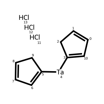 C1=CC[C]([Ta][C]2=CC=CC2)=C1.Cl.Cl.Cl